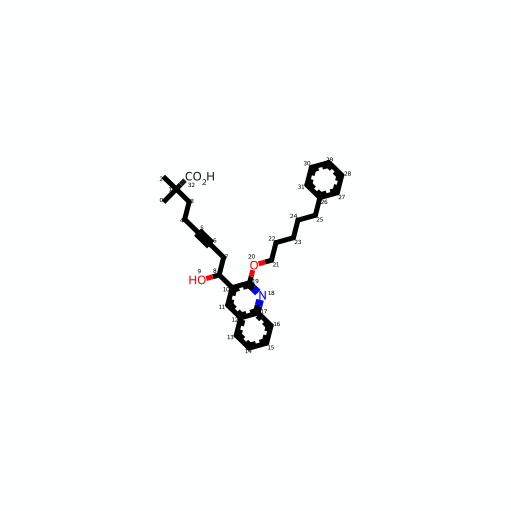 CC(C)(CCC#CCC(O)c1cc2ccccc2nc1OCCCCCc1ccccc1)C(=O)O